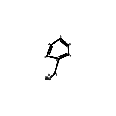 CCC(C)Cc1[c]cccc1